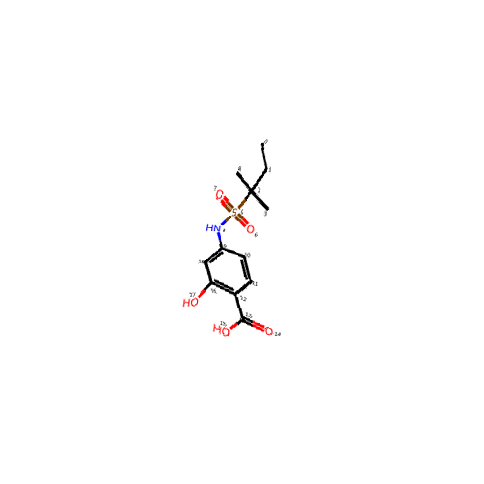 CCC(C)(C)S(=O)(=O)Nc1ccc(C(=O)O)c(O)c1